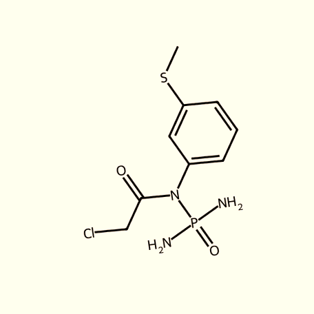 CSc1cccc(N(C(=O)CCl)P(N)(N)=O)c1